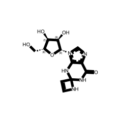 O=C1NC2(C=CN2)Nc2c1ncn2[C@@H]1O[C@H](CO)[C@@H](O)[C@H]1O